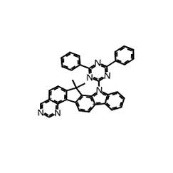 CC1(C)c2ccc3cncnc3c2-c2ccc3c4ccccc4n(-c4nc(-c5ccccc5)nc(-c5ccccc5)n4)c3c21